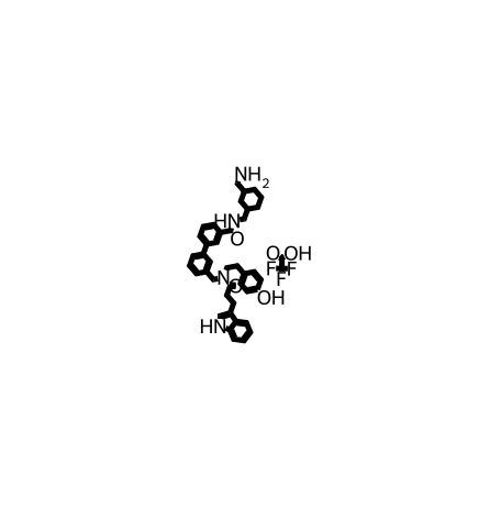 NCC1CCCC(CNC(=O)c2cccc(-c3cccc(CN(CCc4ccc(O)cc4)C(=O)CCc4c[nH]c5ccccc45)c3)c2)C1.O=C(O)C(F)(F)F